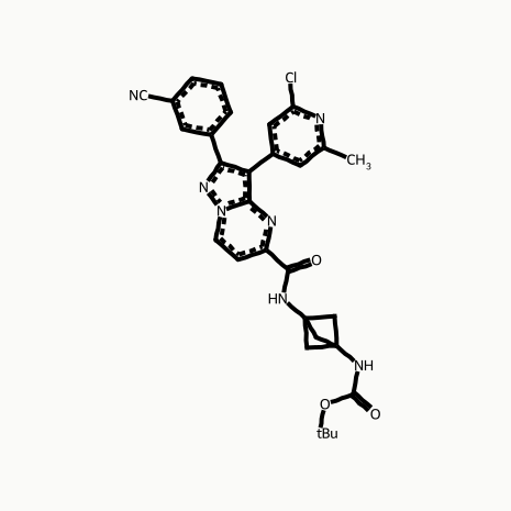 Cc1cc(-c2c(-c3cccc(C#N)c3)nn3ccc(C(=O)NC45CC(NC(=O)OC(C)(C)C)(C4)C5)nc23)cc(Cl)n1